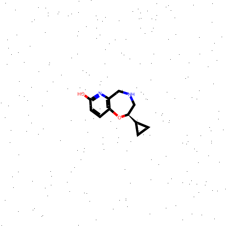 Oc1ccc2c(n1)CNC[C@@H](C1CC1)O2